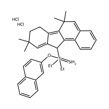 C[CH2][Ti](=[SiH2])([CH2]C)([O]c1ccc2ccccc2c1)[CH]1C2=CC(C)(C)CCC2=C2C1=c1ccccc1=CC2(C)C.Cl.Cl